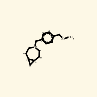 COCc1ccc(CN2CCC3CC3CC2)cc1